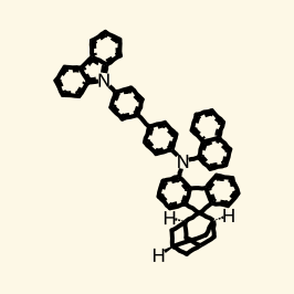 c1ccc2c(c1)-c1c(N(c3ccc(-c4ccc(-n5c6ccccc6c6ccccc65)cc4)cc3)c3cccc4ccccc34)cccc1C21[C@H]2CC3C[C@H](C2)C[C@@H]1C3